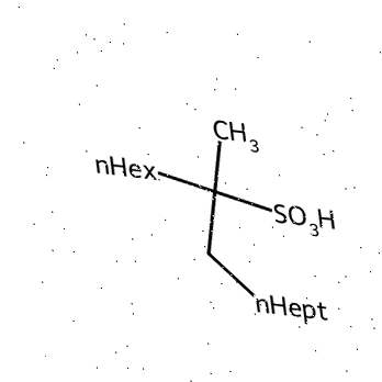 CCCCCCCCC(C)(CCCCCC)S(=O)(=O)O